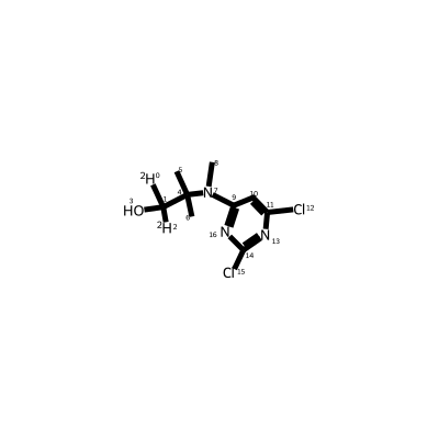 [2H]C([2H])(O)C(C)(C)N(C)c1cc(Cl)nc(Cl)n1